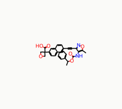 Cc1onc(C#Cc2ccc3cc(C4(C(=O)O)COC4)ccc3c2)c1NC(=O)OC(C)c1ccccc1